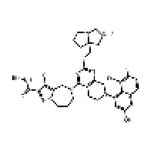 CCNC(=O)c1nn2c(c1Cl)CN(c1nc(OC[C@@]34CCCN3C[C@H](F)C4)nc3c1CCN(c1cc(O)cc4ccc(F)c(CC)c14)C3)CCC2